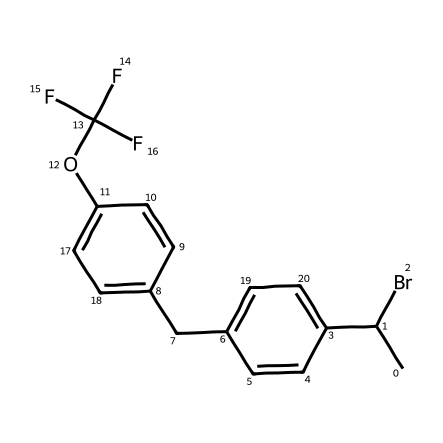 CC(Br)c1ccc(Cc2ccc(OC(F)(F)F)cc2)cc1